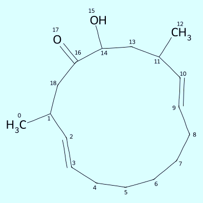 CC1/C=C/CCCCC/C=C/C(C)CC(O)C(=O)C1